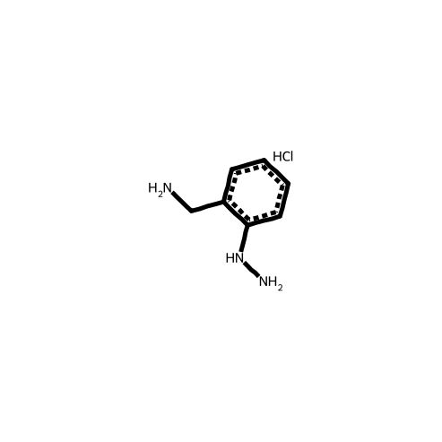 Cl.NCc1ccccc1NN